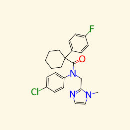 Cn1ccnc1CN(C(=O)C1(c2ccc(F)cc2)CCCCC1)c1ccc(Cl)cc1